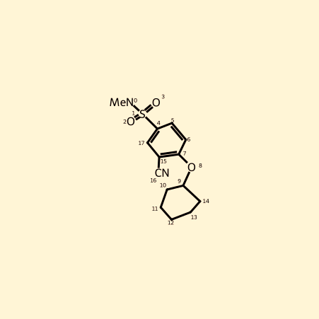 CNS(=O)(=O)c1ccc(OC2CCCCC2)c(C#N)c1